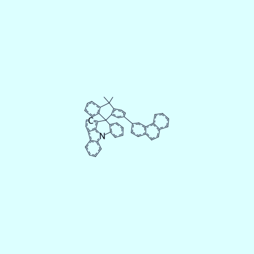 CC1(C)c2ccccc2C2(c3ccccc3-n3c4ccccc4c4cccc2c43)c2cc(-c3ccc4ccc5ccccc5c4c3)ccc21